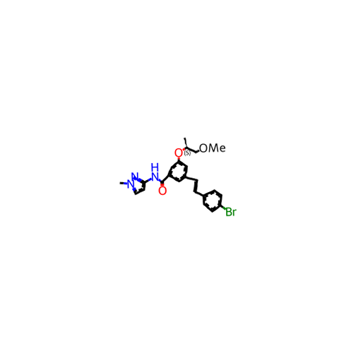 COC[C@H](C)Oc1cc(C=Cc2ccc(Br)cc2)cc(C(=O)Nc2ccn(C)n2)c1